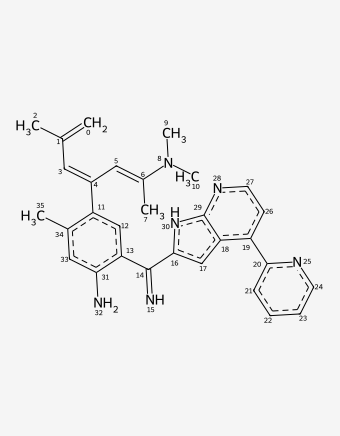 C=C(C)/C=C(\C=C(/C)N(C)C)c1cc(C(=N)c2cc3c(-c4ccccn4)ccnc3[nH]2)c(N)cc1C